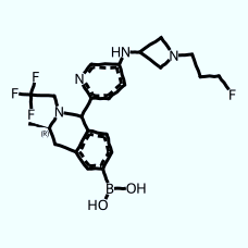 C[C@@H]1Cc2cc(B(O)O)ccc2C(c2ccc(NC3CN(CCCF)C3)cn2)N1CC(F)(F)F